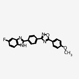 COc1ccc(-c2nc(-c3ccc(-c4nc5cc(F)ccc5[nH]4)cc3)no2)cc1